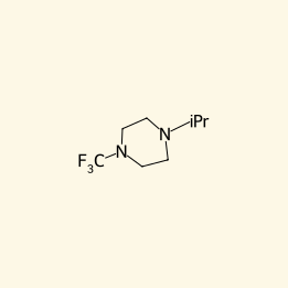 CC(C)N1CCN(C(F)(F)F)CC1